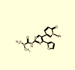 CC(C)n1cc(-c2cnc(NC(=O)N(C)C)nc2-c2ccco2)ccc1=O